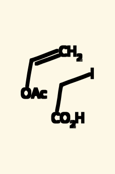 C=COC(C)=O.O=C(O)CI